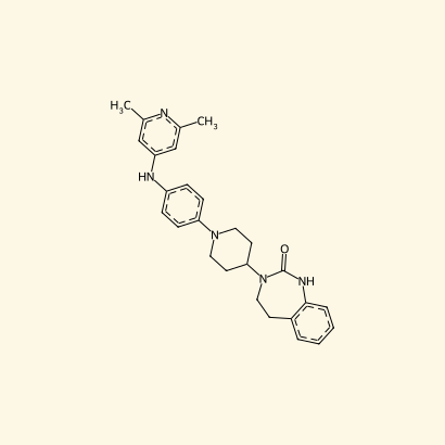 Cc1cc(Nc2ccc(N3CCC(N4CCc5ccccc5NC4=O)CC3)cc2)cc(C)n1